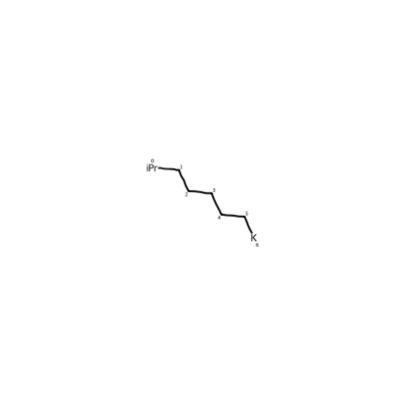 CC(C)CCCC[CH2][K]